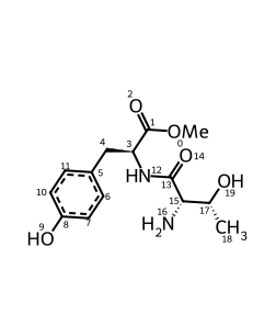 COC(=O)[C@H](Cc1ccc(O)cc1)NC(=O)[C@@H](N)[C@@H](C)O